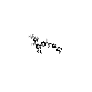 Cc1cc(Nc2cc(C)[nH]n2)nc(N2CCC(NC(=O)Cc3ccc(-n4cnc(F)c4)nc3)CC2)n1